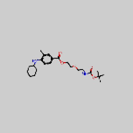 Cc1cc(C(=O)OCCOCCNC(=O)OC(C)(C)C)ccc1NC1CCCCC1